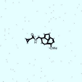 COc1ccc2c3c1CCC(CNC(=O)C1CC1)C3=CC2